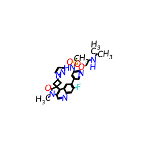 CC(C)NCCOc1ncc(-c2cc3c4c(cnc3cc2F)N(C)C(=O)C42CC(n3cccn3)C2)cc1NS(C)(=O)=O